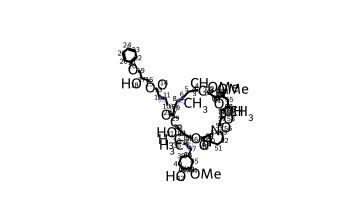 CO[C@H]1C[C@@H](C)C/C(C)=C/[C@@H](C/C=C/C(=O)OCC(O)COc2ccccc2)C(=O)C[C@H](O)[C@@H](C)[C@@H](/C(C)=C/[C@@H]2CC[C@@H](O)[C@H](OC)C2)OC(=O)[C@@H]2CCCCN2C(=O)C(=O)[C@]2(O)O[C@H]1[C@@H](OC)C[C@H]2C